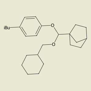 CCC(C)c1ccc(OC(OCC2CCCCC2)C23CCC(CC2)C3)cc1